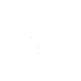 CC(C)(C)C(=O)/C(=N\Nc1ccc(Cl)cc1)Nc1cccc(Cl)c1